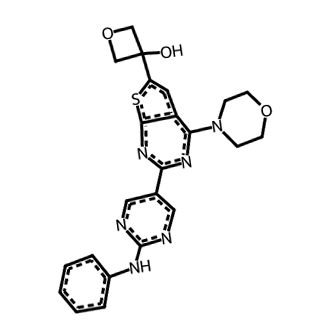 OC1(c2cc3c(N4CCOCC4)nc(-c4cnc(Nc5ccccc5)nc4)nc3s2)COC1